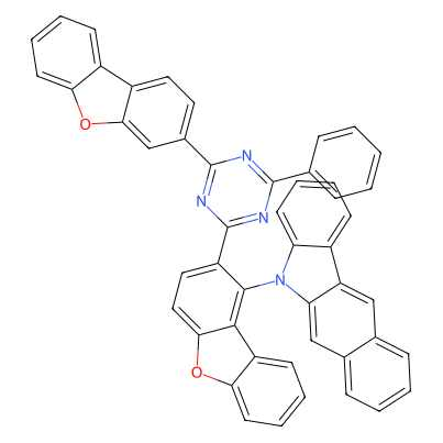 c1ccc(-c2nc(-c3ccc4c(c3)oc3ccccc34)nc(-c3ccc4oc5ccccc5c4c3-n3c4ccccc4c4cc5ccccc5cc43)n2)cc1